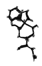 CC1CN(C(=O)OC(C)(C)C)CC(C)C12C=Cc1ccccc12